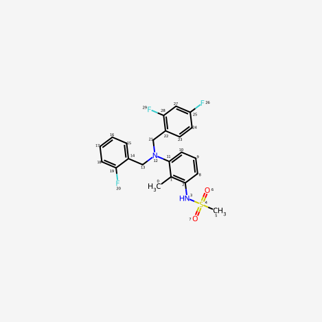 Cc1c(NS(C)(=O)=O)cccc1N(Cc1ccccc1F)Cc1ccc(F)cc1F